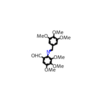 COc1cc(/C=N/c2c(C=O)cc(OC)c(OC)c2OC)cc(OC)c1OC